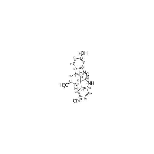 C[C@H]1Cc2c([nH]c3cc(O)ccc23)[C@@]2(N1)C(=O)Nc1ccc(Cl)cc12